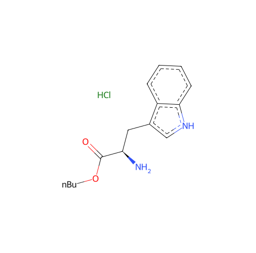 CCCCOC(=O)[C@H](N)Cc1c[nH]c2ccccc12.Cl